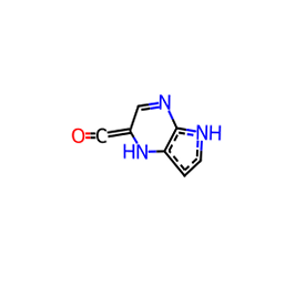 O=C=C1C=Nc2[nH]ccc2N1